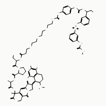 CCCNC(=O)Nc1cccc(S(=O)(=O)Nc2cccc(C(CC(=O)O)NC(=O)Nc3ccc(NC(=O)NCCOCCOCCOCCC(=O)NC(CC(=O)O)C(=O)N4CCCC4C(=O)NC(C(=O)OC4(CC)C(=O)OCc5c4cc4n(c5=O)Cc5c-4nc4cc(F)c(C)c6c4c5C(N(CC)CC)CC6)C(C)C)cc3)c2)c1